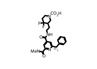 CNC(=O)c1cc(C(=O)NCCC2CN(C(=O)O)CCC2(F)F)cc([C@@H](C)c2ccccc2)n1